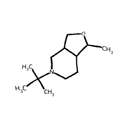 CC1OCC2CN(C(C)(C)C)CCC21